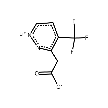 O=C([O-])Cc1nnccc1C(F)(F)F.[Li+]